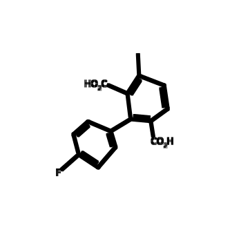 Cc1ccc(C(=O)O)c(-c2ccc(F)cc2)c1C(=O)O